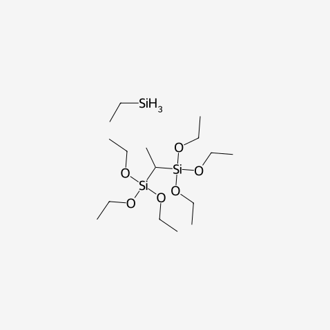 CCO[Si](OCC)(OCC)C(C)[Si](OCC)(OCC)OCC.CC[SiH3]